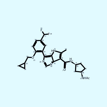 CC(=O)N[C@@H]1CC[C@H](NC(=O)c2c(C)[nH]c3c(-c4cc(C(F)F)ccc4OCC4CC4)ncnc23)C1